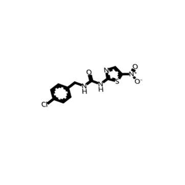 O=C(NCc1ccc(Cl)cc1)Nc1ncc([N+](=O)[O-])s1